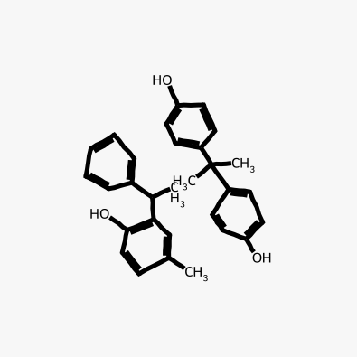 CC(C)(c1ccc(O)cc1)c1ccc(O)cc1.Cc1ccc(O)c(C(C)c2ccccc2)c1